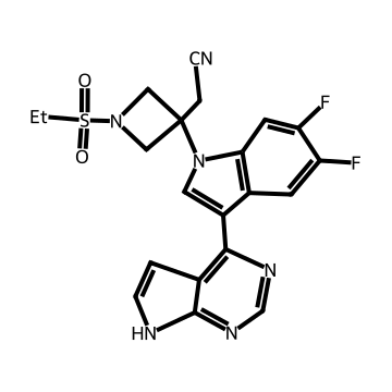 CCS(=O)(=O)N1CC(CC#N)(n2cc(-c3ncnc4[nH]ccc34)c3cc(F)c(F)cc32)C1